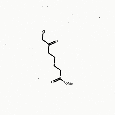 COC(=O)CCCCC(=O)CCl